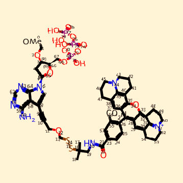 COCO[C@@H]1C[C@H](n2cc(C#CCOCSSC(C)(C)CNC(=O)c3ccc(C4=c5cc6c7c(c5Oc5c4cc4c8c5CCCN8CCC4)CCC[N+]=7CCC6)c(C(=O)O)c3)c3c(N)ncnc32)O[C@@H]1COP(=O)(O)OP(=O)(O)OP(=O)(O)O